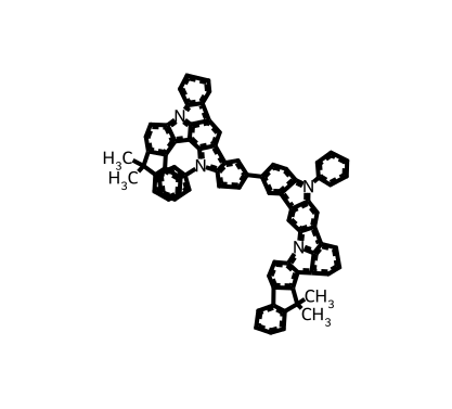 CC1(C)c2ccccc2-c2c1ccc1c2c2c3c(cc4c5ccccc5n1c42)c1cc(-c2ccc4c(c2)c2cc5c(cc2n4-c2ccccc2)c2cccc4c6c7c(ccc6n5c24)-c2ccccc2C7(C)C)ccc1n3-c1ccccc1